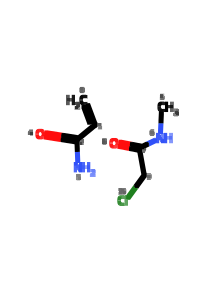 C=CC(N)=O.CNC(=O)CCl